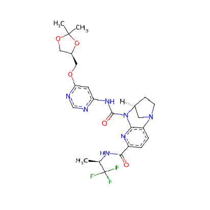 C[C@@H](NC(=O)c1ccc2c(n1)N(C(=O)Nc1cc(OC[C@H]3COC(C)(C)O3)ncn1)[C@H]1CCN2C1)C(F)(F)F